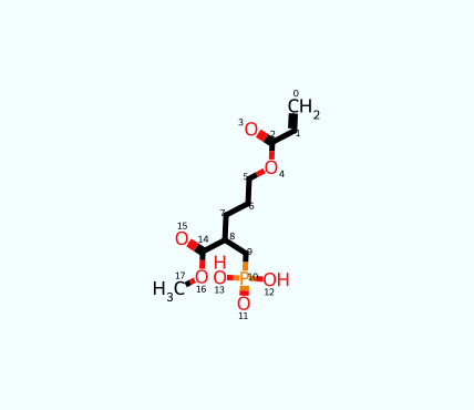 C=CC(=O)OCCCC(CP(=O)(O)O)C(=O)OC